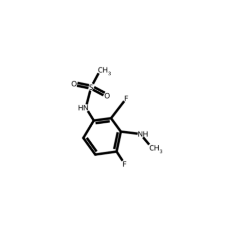 CNc1c(F)ccc(NS(C)(=O)=O)c1F